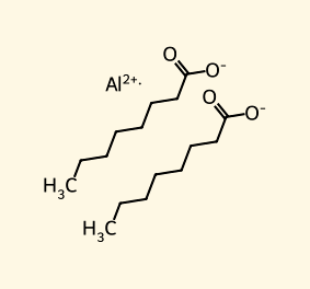 CCCCCCCC(=O)[O-].CCCCCCCC(=O)[O-].[Al+2]